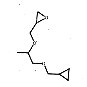 CC(COCC1CC1)OCC1CO1